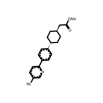 COC(=O)C[C@H]1CC[C@H](c2ccc(-c3ccc(C#N)cn3)cc2)CC1